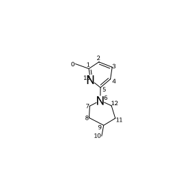 Cc1cccc(N2CCC(C)CC2)n1